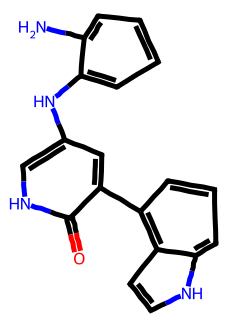 Nc1ccccc1Nc1c[nH]c(=O)c(-c2cccc3[nH]ccc23)c1